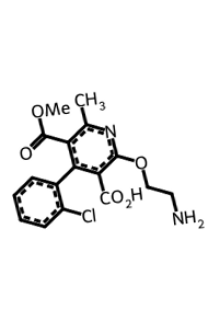 COC(=O)c1c(C)nc(OCCN)c(C(=O)O)c1-c1ccccc1Cl